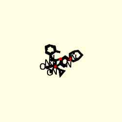 Cc1ccccc1-c1noc(C2CC2)c1COC1CC2CCC(C1)N2c1ccc(-c2noc(=O)[nH]2)cn1